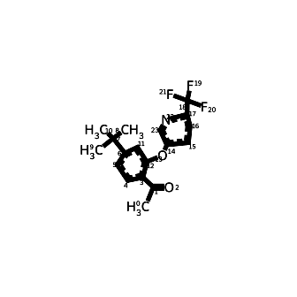 CC(=O)c1ccc(C(C)(C)C)cc1Oc1ccc(C(F)(F)F)nc1